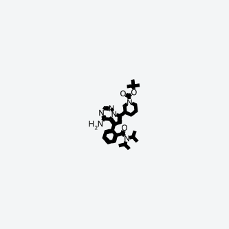 CC(C)N(C(=O)c1ccccc1-c1cc(C2CCCN(C(=O)OC(C)(C)C)C2)n2ncnc(N)c12)C(C)C